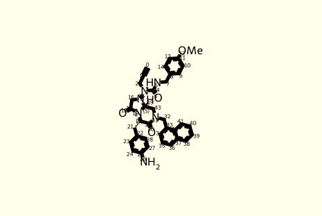 C#CCN(C(=O)NCc1ccc(OC)cc1)N1CC(=O)N2[C@@H](Cc3ccc(N)cc3)C(=O)N(Cc3cccc4ccccc34)C[C@@H]21